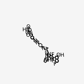 O=C1CC[C@H](N2Cc3cc(N4CCN(C5CCC6(CC5)CN(CC5(COc7nc(N8CC9CCC(C8)N9)c8cnc(-c9cc(O)cc%10ccc(F)c(F)c9%10)c(F)c8n7)CC5)C6)CC4)ccc3C2=O)C(=O)N1